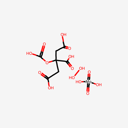 O=C(O)CC(CC(=O)O)(OC(=O)O)C(=O)O.OO.[O]=[Mo](=[O])([OH])[OH]